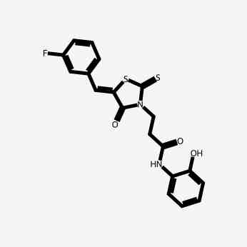 O=C(CCN1C(=O)/C(=C/c2cccc(F)c2)SC1=S)Nc1ccccc1O